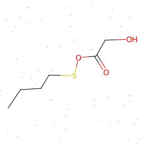 CCCCSOC(=O)CO